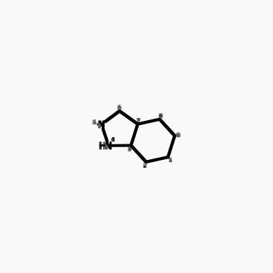 C1CCC2N[N]CC2C1